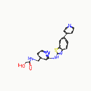 O=C(CO)NCc1ccnc(Nc2nc3ccc(-c4ccncc4)cc3s2)c1